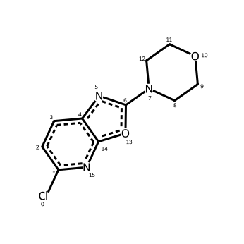 Clc1ccc2nc(N3CCOCC3)oc2n1